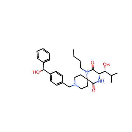 CCCCN1C(=O)[C@@H]([C@H](O)C(C)C)NC(=O)C12CCN(Cc1ccc(C(O)c3ccccc3)cc1)CC2